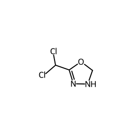 ClC(Cl)C1=NNCO1